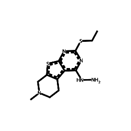 CCSc1nc(NN)c2c3c(sc2n1)CN(C)CC3